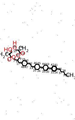 C=C(CO)C(=O)OCC(COC(=O)C(=C)CO)CC1CCC(CCC2CCC(C3CC=C(c4ccc(CCCCC)cc4)CC3)CC2)CC1